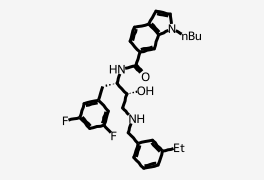 CCCCn1ccc2ccc(C(=O)N[C@@H](Cc3cc(F)cc(F)c3)[C@H](O)CNCc3cccc(CC)c3)cc21